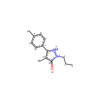 CCCn1[nH]c(-c2ccc(C)cc2)c(C)c1=O